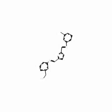 Cc1cccc(N=Cc2ccc(C=Nc3cccc(CC(C)C)c3)o2)c1